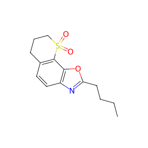 CCCCc1nc2ccc3c(c2o1)S(=O)(=O)CCC3